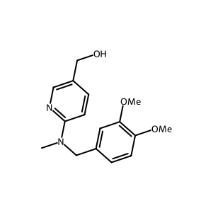 COc1ccc(CN(C)c2ccc(CO)cn2)cc1OC